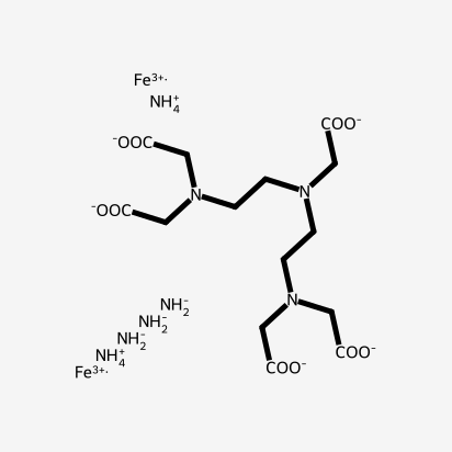 O=C([O-])CN(CCN(CC(=O)[O-])CC(=O)[O-])CCN(CC(=O)[O-])CC(=O)[O-].[Fe+3].[Fe+3].[NH2-].[NH2-].[NH2-].[NH4+].[NH4+]